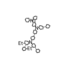 CCc1ccccc1-c1cc(N(c2ccc(-c3ccccc3)cc2)c2ccc(-c3ccc(N(c4ccc(-c5ccccc5)cc4)c4ccc5c(c4)c4ccccc4n5-c4ccccc4)cc3)cc2)ccc1CC